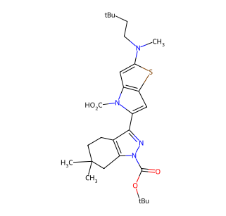 CN(CCC(C)(C)C)c1cc2c(cc(-c3nn(C(=O)OC(C)(C)C)c4c3CCC(C)(C)C4)n2C(=O)O)s1